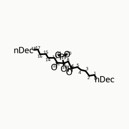 CCCCCCCCCCCCCCCC(=O)CC(O)(C(=O)CCCCCCCCCCCCCCC)P(=O)=O